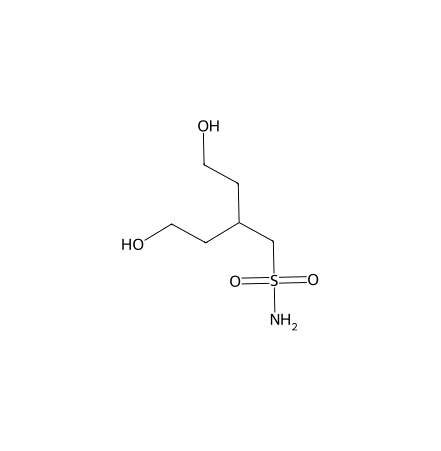 NS(=O)(=O)CC(CCO)CCO